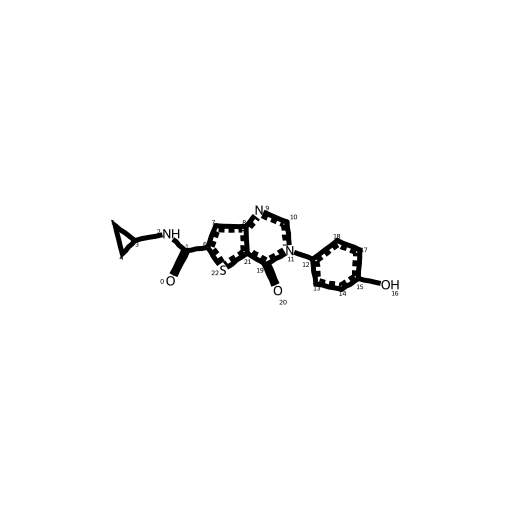 O=C(NC1CC1)c1cc2ncn(-c3ccc(O)cc3)c(=O)c2s1